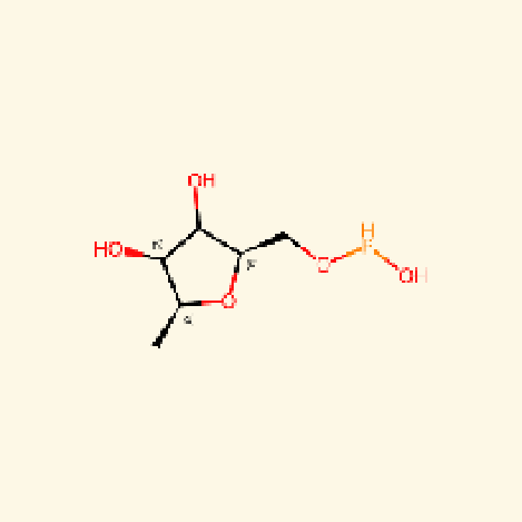 C[C@@H]1O[C@H](COPO)C(O)[C@@H]1O